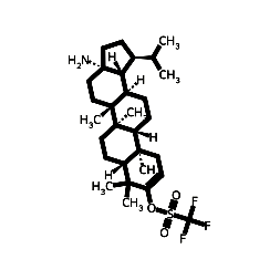 CC(C)[C@@H]1CC[C@]2(N)CC[C@]3(C)[C@H](CC[C@@H]4[C@@]5(C)CC=C(OS(=O)(=O)C(F)(F)F)C(C)(C)[C@@H]5CC[C@]43C)[C@@H]12